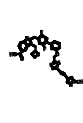 Cn1cc(C#Cc2cnc(COc3cccc(-c4cc(F)c(Cc5nc6ccc(C(=O)O)cc6n5C[C@@H]5CCO5)cc4F)n3)s2)cn1